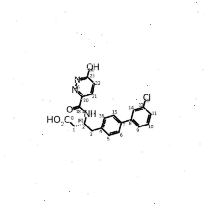 O=C(O)C[C@@H](Cc1ccc(-c2cccc(Cl)c2)cc1)NC(=O)c1ccc(O)nn1